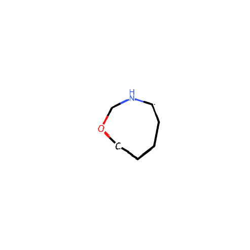 [CH]1CCCCOCN1